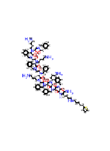 CC(=O)N(CC(=O)N(CCCCN)CC(=O)N(CC(=O)N(CCCCN)CC(=O)N(CC(=O)N(CC(=O)N(CCCCN)CC(=O)N(CC(=O)N(CCCCN)CC(=O)N(CC(=O)N(CC(=O)N[C@@H](CCCCNCCCCCC1CCCS1)C(N)=O)Cc1ccccc1)Cc1ccccc1)Cc1ccccc1)Cc1ccccc1)Cc1ccccc1)Cc1ccccc1)Cc1ccccc1